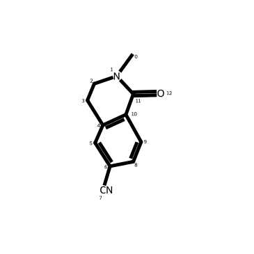 CN1CCc2cc(C#N)ccc2C1=O